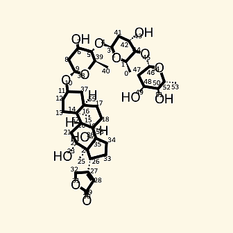 C[C@H]1O[C@@H](O[C@H]2C(O)C[C@H](OC3CC[C@@]4(C)[C@H](CC[C@@H]5[C@@H]4C[C@@H](O)[C@]4(C)[C@@H](C6=CC(=O)OC6)CC[C@]54O)C3)O[C@@H]2C)C[C@H](O)C1O[C@H]1C[C@H](O)[C@H](O)[C@@H](C)O1